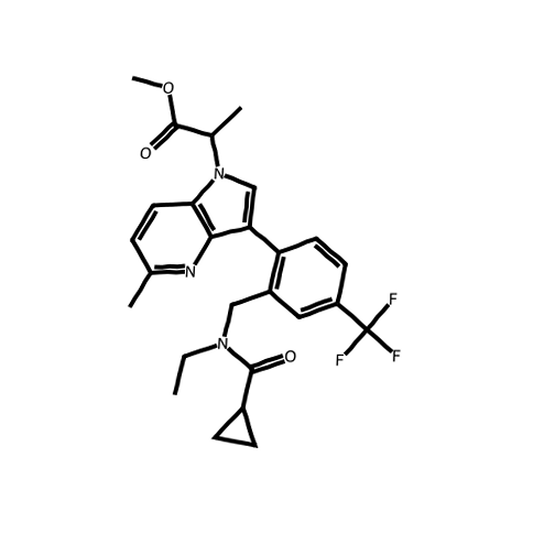 CCN(Cc1cc(C(F)(F)F)ccc1-c1cn(C(C)C(=O)OC)c2ccc(C)nc12)C(=O)C1CC1